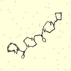 O=C(CN1CCN(C(=O)c2ccccn2)CC1)N1CCN(C2CCC2)CC1